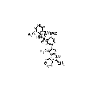 COc1ccc(-c2sc(NC(C)C3CCOCC3)nc2C)cc1S(=O)(=O)Nc1c(C)cncc1C